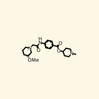 CO[C@@H]1CCCN(CC(=O)Nc2ccc(C(=O)OC3CCN(C)CC3)cc2)C1